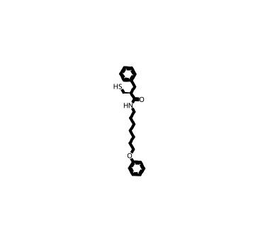 O=C(NCCCCCCCOc1ccccc1)[C@@H](CS)Cc1ccccc1